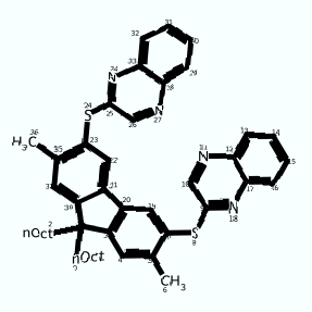 CCCCCCCCC1(CCCCCCCC)c2cc(C)c(Sc3cnc4ccccc4n3)cc2-c2cc(Sc3cnc4ccccc4n3)c(C)cc21